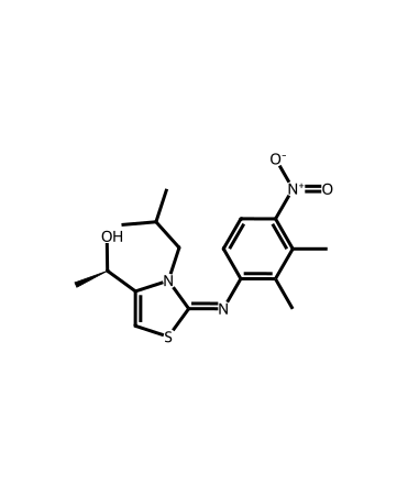 Cc1c(N=c2scc([C@@H](C)O)n2CC(C)C)ccc([N+](=O)[O-])c1C